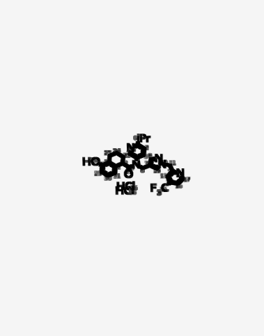 CC(C)c1ccc(N(Cc2cnn(Cc3cc(C(F)(F)F)ccn3)c2)C(=O)C2CCCc3c(O)cccc32)cn1.Cl.Cl